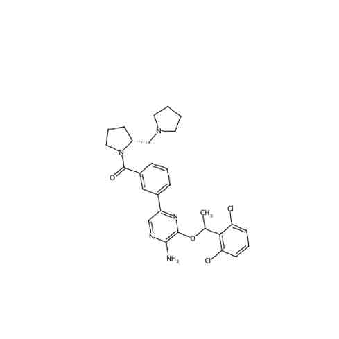 CC(Oc1nc(-c2cccc(C(=O)N3CCC[C@@H]3CN3CCCC3)c2)cnc1N)c1c(Cl)cccc1Cl